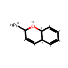 CCCC1C=CC2C=CC=CC2O1